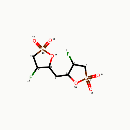 O=S1(=O)CC(F)C(CC2OS(=O)(=O)CC2F)O1